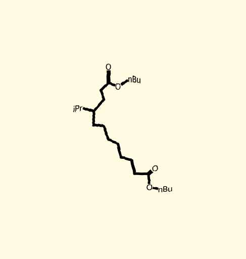 CCCCOC(=O)CCCCCCCC(CCC(=O)OCCCC)C(C)C